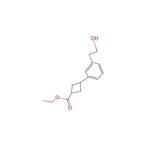 CCOC(=O)C1CC(c2cccc(CCO)c2)C1